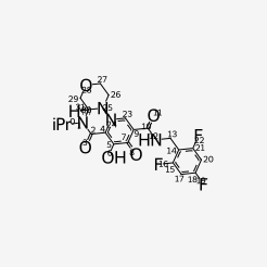 CC(C)N1C(=O)c2c(O)c(=O)c(C(=O)NCc3c(F)cc(F)cc3F)cn2N2CCOC[C@@H]12